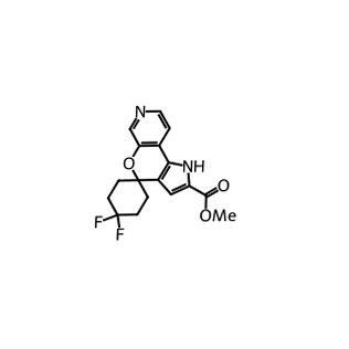 COC(=O)c1cc2c([nH]1)-c1ccncc1OC21CCC(F)(F)CC1